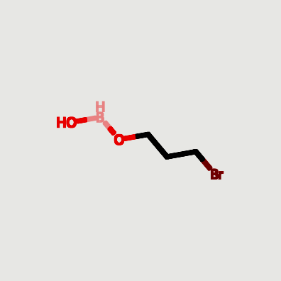 OBOCCCBr